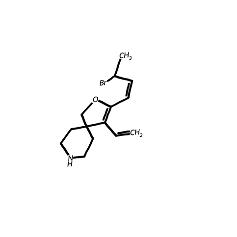 C=CC1=C(/C=C\C(C)Br)OCC12CCNCC2